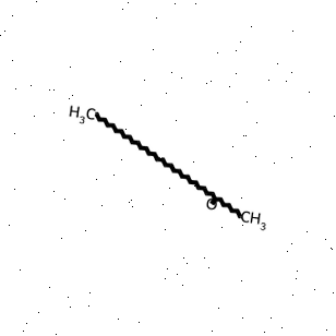 CCCCCCCCCCCCCCCCCCCCCCCCCCCCCCC(=O)CCCCCCC